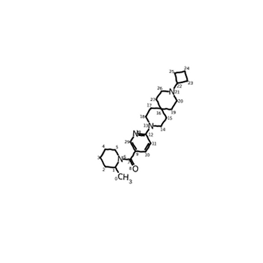 CC1CCCCN1C(=O)c1ccc(N2CCC3(CC2)CCN(C2CCC2)CC3)nc1